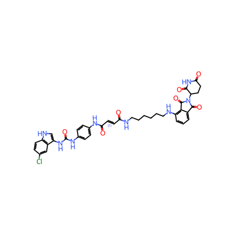 O=C(/C=C/C(=O)Nc1ccc(NC(=O)Nc2c[nH]c3ccc(Cl)cc23)cc1)NCCCCCCNc1cccc2c1C(=O)N(C1CCC(=O)NC1=O)C2=O